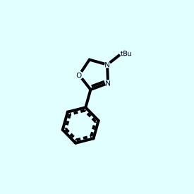 CC(C)(C)N1COC(c2ccccc2)=N1